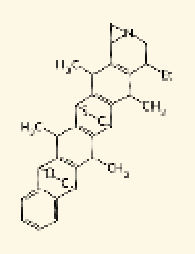 CCC1CN2CC2C2=C1C(C)C1=C(C2C)C2SCC1C1=C2C(C)C2=C(C1C)C1COC2c2ccccc21